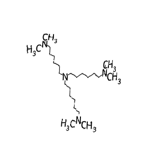 CN(C)CCCCCCN(CCCCCCN(C)C)CCCCCCN(C)C